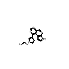 CC(C)CSN1CCC(c2ncnc3cnc4[nH]ccc4c23)C1